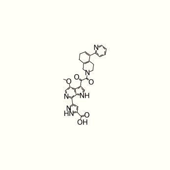 COc1cnc(-c2cc(C(=O)O)[nH]n2)c2[nH]cc(C(=O)C(=O)N3CCC4=C(CCC=C4c4ccccn4)C3)c12